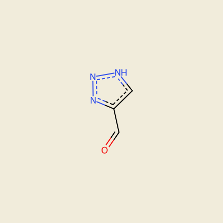 O=Cc1c[nH]nn1